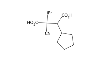 CC(C)C(C#N)(C(=O)O)C(C(=O)O)C1CCCC1